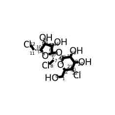 OCC1O[C@H](O[C@@]2(CCl)O[C@H](CCl)[C@H](O)[C@H]2O)C(O)C(O)[C@H]1Cl